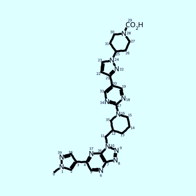 Cn1cc(-c2cnc3nnn(CC4CCCN(c5ncc(-c6ccn(C7CCN(C(=O)O)CC7)n6)cn5)C4)c3n2)cn1